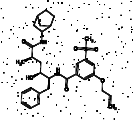 C=CCOc1cc(C(=O)N[C@@H](Cc2ccccc2)[C@@H](O)C[C@@H](C)C(=O)NC2CC3CCC2C3)cc(S(C)(=O)=O)c1